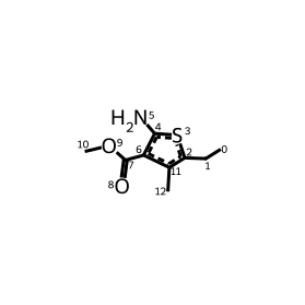 CCc1sc(N)c(C(=O)OC)c1C